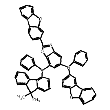 CC1(C)c2ccccc2-c2c(N(c3ccccc3)c3cc(N(c4ccccc4)c4ccc5oc6ccccc6c5c4)cc4nc(-c5ccc6c(c5)oc5ccccc56)oc34)cccc21